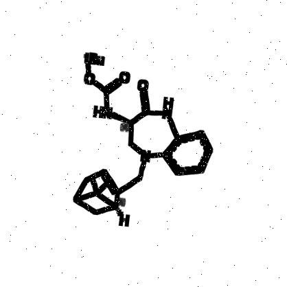 CC(C)(C)OC(=O)N[C@@H]1CN(CC2=CCC3C[C@H]2C3(C)C)c2ccccc2NC1=O